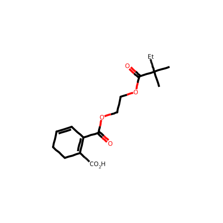 CCC(C)(C)C(=O)OCCOC(=O)C1=C(C(=O)O)CCC=C1